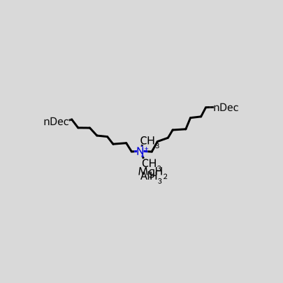 CCCCCCCCCCCCCCCCCC[N+](C)(C)CCCCCCCCCCCCCCCCCC.[AlH3].[MgH2]